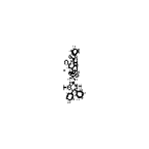 C[C@@H]1C(=O)N(c2nc3ccccc3s2)[C@H]2CCN(S(=O)(=O)N(C)CC(=O)N[C@H](c3ccccc3)[C@@H](O)c3ccccc3)[C@H]12